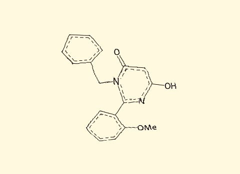 COc1ccccc1-c1nc(O)cc(=O)n1Cc1ccccc1